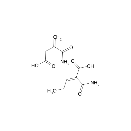 C=C(CC(=O)O)C(N)=O.CC/C=C(\C(N)=O)C(=O)O